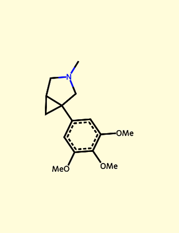 COc1cc(C23CC2CN(C)C3)cc(OC)c1OC